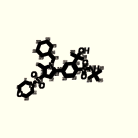 Cc1c(S(=O)(=O)N2CCOCC2)cc(-c2ccc(S(=O)(=O)NC(C)(C)C)c(C(C)(C)O)c2)n1CC1CCCCC1